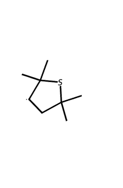 CC1(C)[CH]CC(C)(C)S1